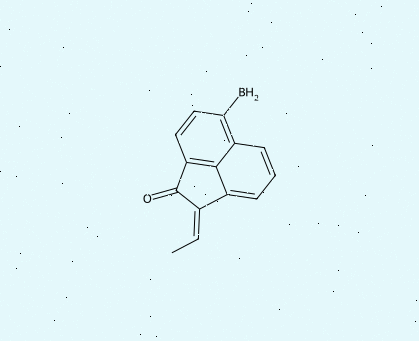 Bc1ccc2c(=O)c(=CC)c3cccc1c23